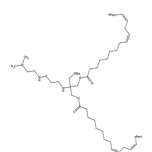 CCCCC/C=C\C/C=C\CCCCCCCC(=O)OCC(COC)(COC(=O)CCCCCCC/C=C\C/C=C\CCCCC)NCCSNCCN(C)C